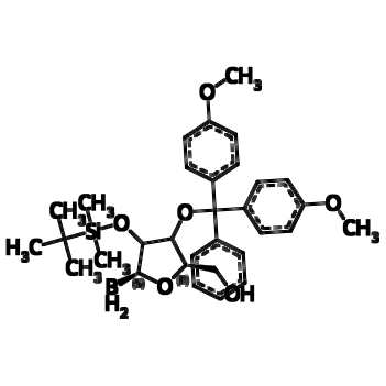 B[C@@H]1O[C@H](CO)C(OC(c2ccccc2)(c2ccc(OC)cc2)c2ccc(OC)cc2)C1O[Si](C)(C)C(C)(C)C